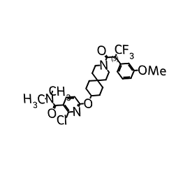 COc1cccc([C@@H](C(=O)N2CCC3(CCC(Oc4ccc(C(=O)N(C)C)c(Cl)n4)CC3)CC2)C(F)(F)F)c1